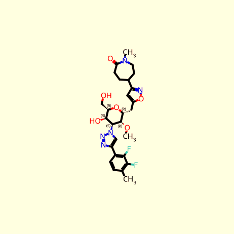 CO[C@@H]1[C@@H](n2cc(-c3ccc(C)c(F)c3F)nn2)[C@@H](O)[C@@H](CO)O[C@@H]1Cc1cc(C2CCC(=O)N(C)CC2)no1